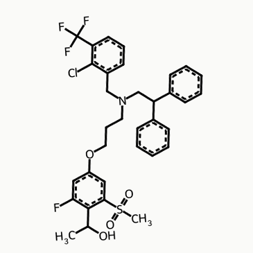 CC(O)c1c(F)cc(OCCCN(Cc2cccc(C(F)(F)F)c2Cl)CC(c2ccccc2)c2ccccc2)cc1S(C)(=O)=O